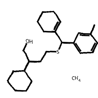 C.Cc1cccc(C(SCCC(CO)C2CCCCC2)C2=CCCCC2)c1